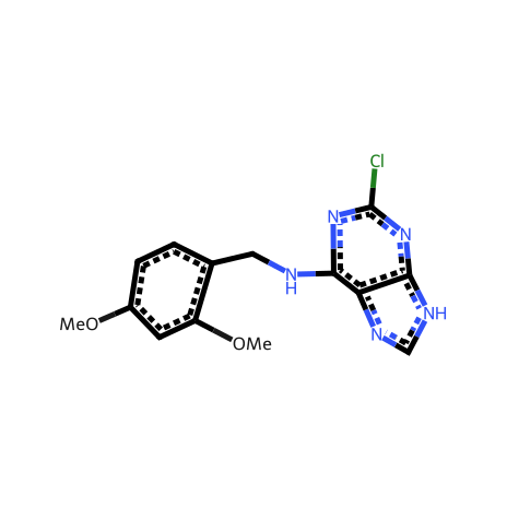 COc1ccc(CNc2nc(Cl)nc3[nH]cnc23)c(OC)c1